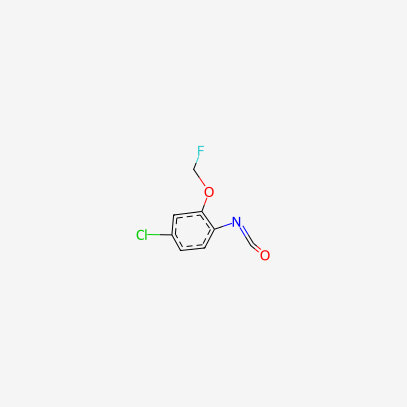 O=C=Nc1ccc(Cl)cc1OCF